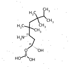 CC(C)C(C)(C)CC(C)(C)[C@@H](N)C[C@H](O)OP(O)O